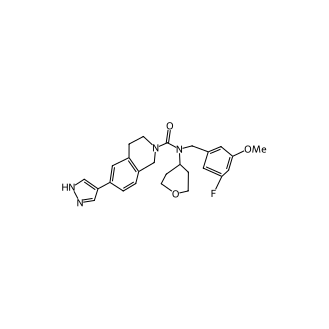 COc1cc(F)cc(CN(C(=O)N2CCc3cc(-c4cn[nH]c4)ccc3C2)C2CCOCC2)c1